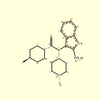 C[C@H]1CC[C@H](C(=O)N(c2c(C(=O)O)sc3ccccc23)[C@H]2CC[C@@H](C)CC2)CC1